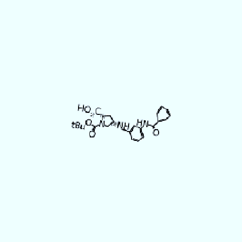 CC(C)(C)OC(=O)N1C[C@@H](NCc2cccc(NC(=O)c3ccccc3)c2)C[C@H]1C(=O)O